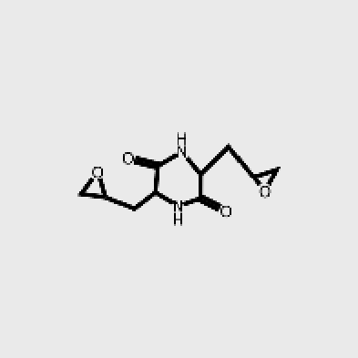 O=C1NC(CC2CO2)C(=O)NC1CC1CO1